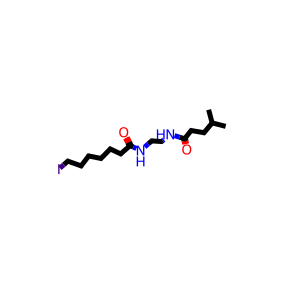 CC(C)CCC(=O)NCCNC(=O)CCCCCCI